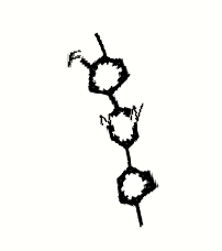 Cc1ccc(-c2cnc(-c3ccc(C)c(F)c3)nc2)cc1